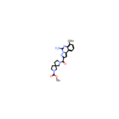 COc1cccc2c1nc(N)n1nc(C(=O)N3CCC4(CCN(C(=O)OC(C)(C)C)C4)C3)cc21